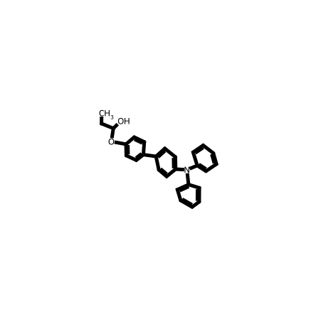 CCC(O)Oc1ccc(-c2ccc(N(c3ccccc3)c3ccccc3)cc2)cc1